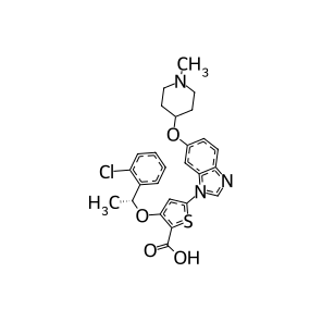 C[C@@H](Oc1cc(-n2cnc3ccc(OC4CCN(C)CC4)cc32)sc1C(=O)O)c1ccccc1Cl